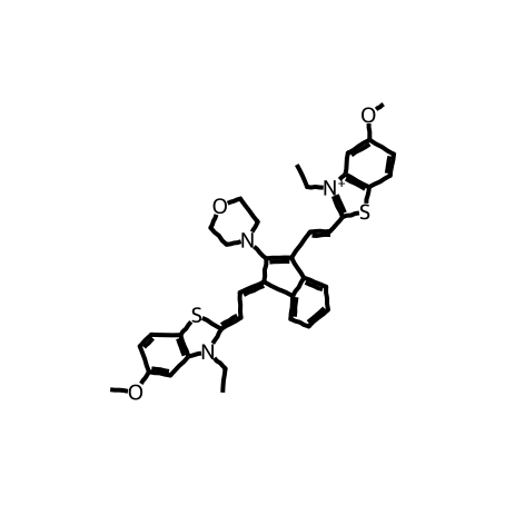 CCN1/C(=C/C=C2C(N3CCOCC3)=C(/C=C/c3sc4ccc(OC)cc4[n+]3CC)c3ccccc3/2)Sc2ccc(OC)cc21